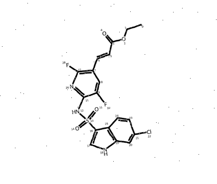 CCOC(=O)C=Cc1cc(F)c(NS(=O)(=O)c2c[nH]c3cc(Cl)ccc23)nc1F